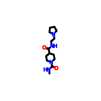 CNC(=O)N1CCC(C(=O)NCCN2CCCC2)CC1